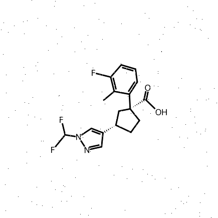 Cc1c(F)cccc1[C@@]1(C(=O)O)CC[C@H](c2cnn(C(F)F)c2)C1